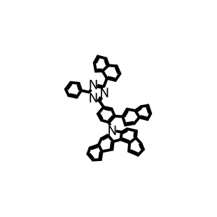 c1ccc(-c2nc(-c3ccc(-n4c5cc6ccccc6cc5c5c6ccccc6ccc54)c(-c4ccc5ccccc5c4)c3)nc(-c3cccc4ccccc34)n2)cc1